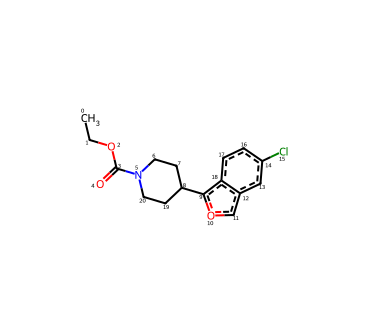 CCOC(=O)N1CCC(c2occ3cc(Cl)ccc23)CC1